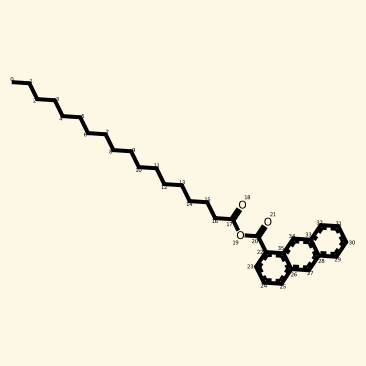 CCCCCCCCCCCCCCCCCC(=O)OC(=O)c1cccc2cc3ccccc3cc12